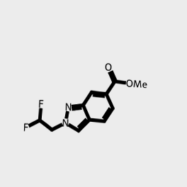 COC(=O)c1ccc2cn(CC(F)F)nc2c1